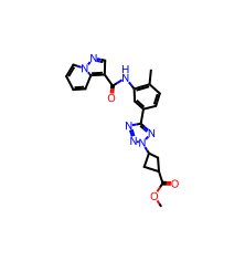 COC(=O)C1CC(n2nnc(-c3ccc(C)c(NC(=O)c4cnn5ccccc45)c3)n2)C1